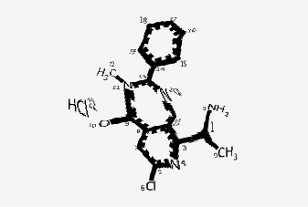 CC(N)c1nc(Cl)cc2c(=O)n(C)c(-c3ccccc3)nc12.Cl